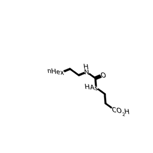 CCCCCCCCNC(=O)[AsH]CCC(=O)O